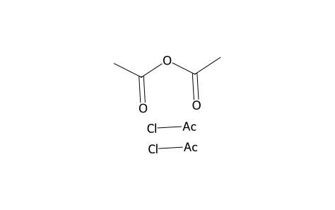 CC(=O)Cl.CC(=O)Cl.CC(=O)OC(C)=O